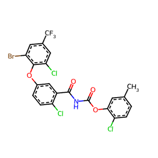 Cc1ccc(Cl)c(OC(=O)NC(=O)c2cc(Oc3c(Cl)cc(C(F)(F)F)cc3Br)ccc2Cl)c1